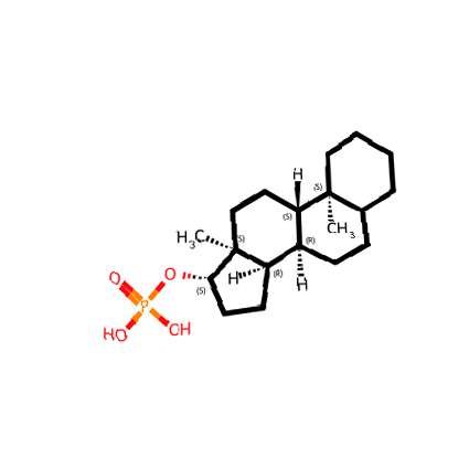 C[C@]12CC[C@H]3[C@@H](CCC4CCCC[C@@]43C)[C@H]1CC[C@@H]2OP(=O)(O)O